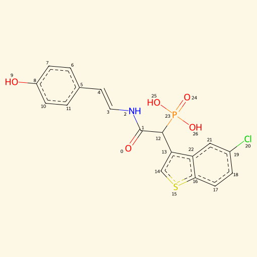 O=C(N/C=C/c1ccc(O)cc1)C(c1csc2ccc(Cl)cc12)P(=O)(O)O